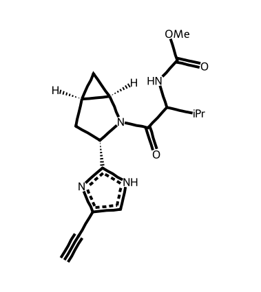 C#Cc1c[nH]c([C@@H]2C[C@H]3C[C@H]3N2C(=O)C(NC(=O)OC)C(C)C)n1